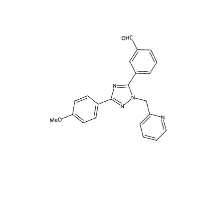 COc1ccc(-c2nc(-c3cccc(C=O)c3)n(Cc3ccccn3)n2)cc1